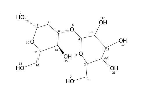 OCC1OC(O[C@H]2C[C@@H](O)O[C@@H](CO)[C@@H]2O)C(O)C(O)C1O